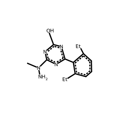 CCc1cccc(CC)c1-c1nc(O)nc(N(C)N)n1